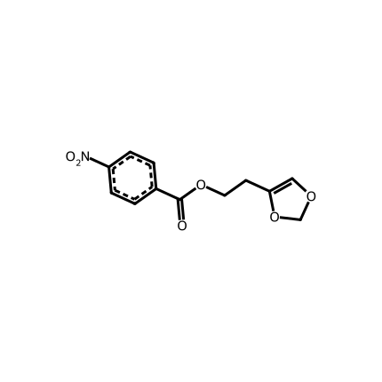 O=C(OCCC1=COCO1)c1ccc([N+](=O)[O-])cc1